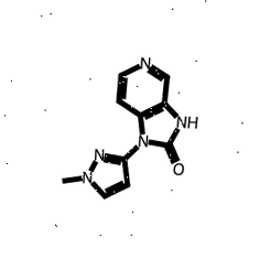 Cn1ccc(-n2c(=O)[nH]c3cnccc32)n1